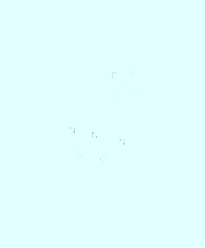 Cc1cn(-c2ccc3c(c2)OC(F)(F)O3)/c(=N/C(=O)N(C)C)o1